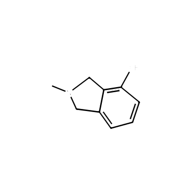 CN1Cc2cccc(C(F)(F)F)c2C1